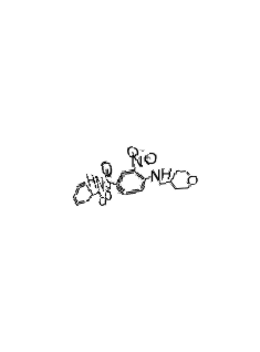 O=C(NS(=O)(=O)c1ccc(NCC2CCOCC2)c([N+](=O)[O-])c1)c1ccccc1